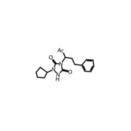 CC(=O)C(CCc1ccccc1)n1c(=O)[nH]n(C2CCCC2)c1=O